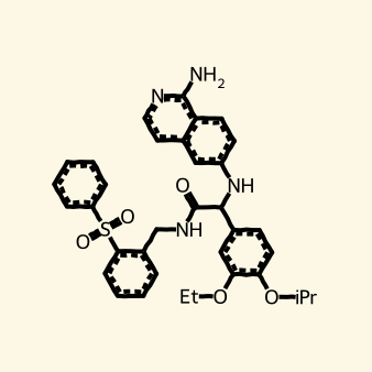 CCOc1cc(C(Nc2ccc3c(N)nccc3c2)C(=O)NCc2ccccc2S(=O)(=O)c2ccccc2)ccc1OC(C)C